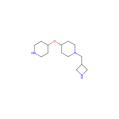 C1CC(OC2CCN(CC3CNC3)CC2)CCN1